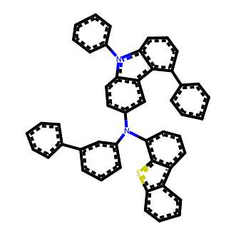 c1ccc(-c2cccc(N(c3ccc4c(c3)c3c(-c5ccccc5)cccc3n4-c3ccccc3)c3cccc4c3sc3ccccc34)c2)cc1